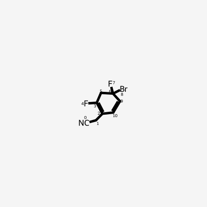 N#CCC1=C(F)CC(F)(Br)C=C1